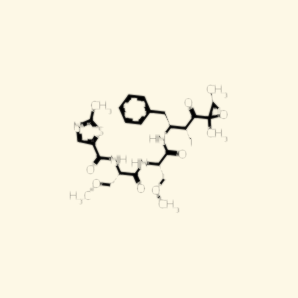 COC[C@H](NC(=O)c1cnc(C)s1)C(=O)N[C@@H](COC)C(=O)N[C@@H](Cc1ccccc1)[C@@H](I)C(=O)C1(C)O[C@H]1C